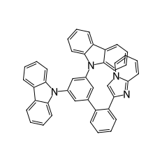 c1ccc(-c2cn3ccccc3n2)c(-c2cc(-n3c4ccccc4c4ccccc43)cc(-n3c4ccccc4c4ccccc43)c2)c1